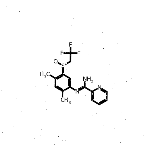 Cc1cc(C)c([S+]([O-])CC(F)(F)F)cc1/N=C(\N)c1ccccn1